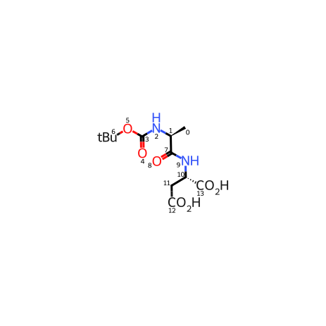 C[C@H](NC(=O)OC(C)(C)C)C(=O)N[C@@H](CC(=O)O)C(=O)O